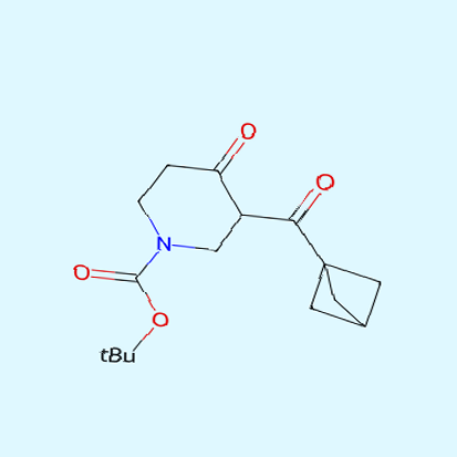 CC(C)(C)OC(=O)N1CCC(=O)C(C(=O)C23CC(C2)C3)C1